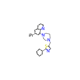 CC(C)c1cc(N2CCCN(Cc3cnc(-c4ccccc4)s3)CC2)c2ncccc2c1